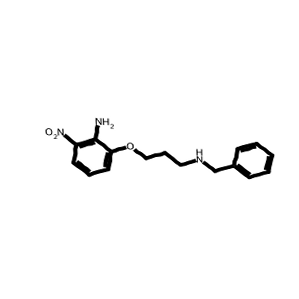 Nc1c(OCCCNCc2ccccc2)cccc1[N+](=O)[O-]